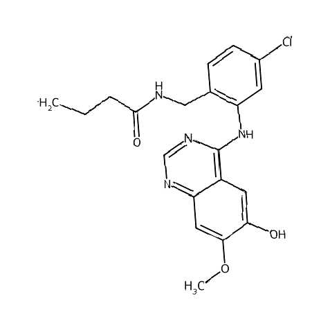 [CH2]CCC(=O)NCc1ccc(Cl)cc1Nc1ncnc2cc(OC)c(O)cc12